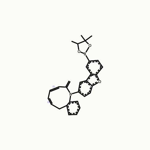 C=C1/C=C\C=C/Cc2ccccc2N1c1ccc2oc3ccc(B4OC(C)C(C)(C)O4)cc3c2c1